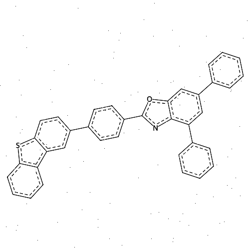 c1ccc(-c2cc(-c3ccccc3)c3nc(-c4ccc(-c5ccc6sc7ccccc7c6c5)cc4)oc3c2)cc1